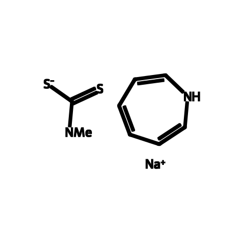 C1=CC=CNC=C1.CNC(=S)[S-].[Na+]